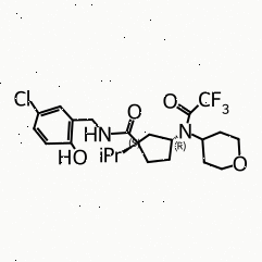 CC(C)[C@]1(C(=O)NCc2cc(Cl)ccc2O)CC[C@@H](N(C(=O)C(F)(F)F)C2CCOCC2)C1